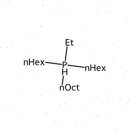 CCCCCCCC[PH](CC)(CCCCCC)CCCCCC